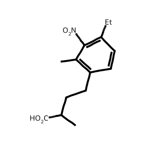 CCc1ccc(CCC(C)C(=O)O)c(C)c1[N+](=O)[O-]